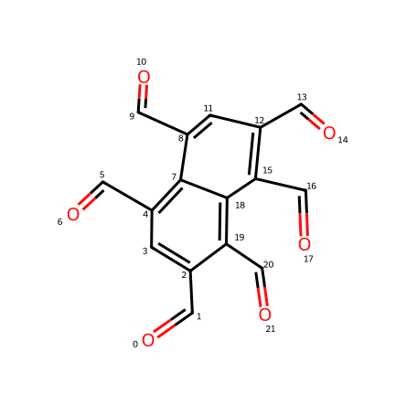 O=Cc1cc(C=O)c2c(C=O)cc(C=O)c(C=O)c2c1C=O